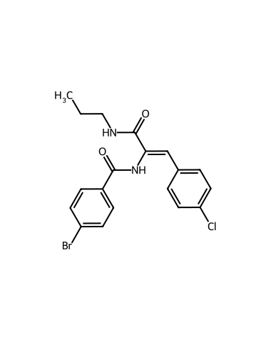 CCCNC(=O)/C(=C/c1ccc(Cl)cc1)NC(=O)c1ccc(Br)cc1